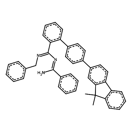 CC1(C)c2ccccc2-c2ccc(-c3ccc(-c4ccccc4C(/N=C(\N)c4ccccc4)=N/Cc4ccccc4)cc3)cc21